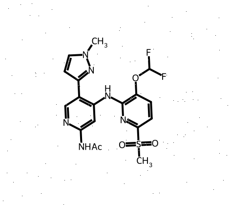 CC(=O)Nc1cc(Nc2nc(S(C)(=O)=O)ccc2OC(F)F)c(-c2ccn(C)n2)cn1